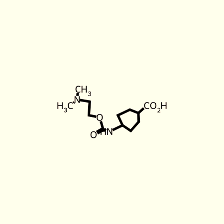 CN(C)CCOC(=O)NC1CCC(C(=O)O)CC1